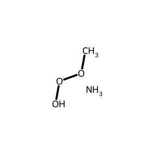 COOO.N